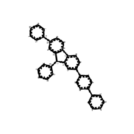 c1ccc(-c2ccc(-c3ccc4c(c3)C(c3ccccc3)c3cc(-c5ccccc5)ccc3-4)cc2)cc1